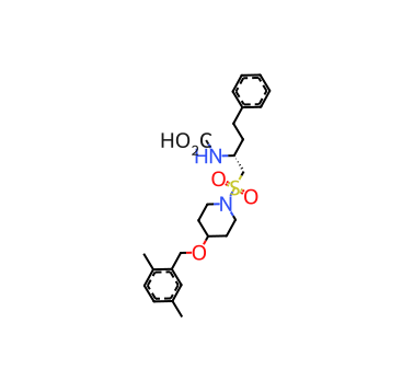 Cc1ccc(C)c(COC2CCN(S(=O)(=O)C[C@@H](CCc3ccccc3)NC(=O)O)CC2)c1